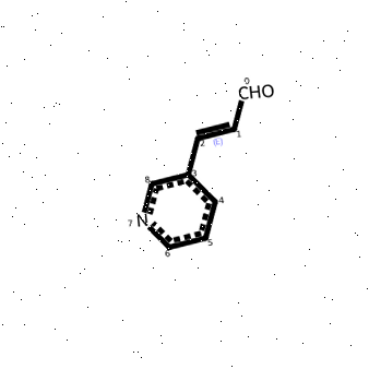 O=C/C=C/c1cccnc1